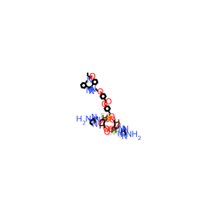 B[P@]1(=O)OC[C@H]2O[C@@H](n3cnc4c(N)ccnc43)[C@H](F)[C@@H]2O[P@](=O)(SCc2ccc(OC(=O)c3ccc(OCCn4nnc5c4-c4ccccc4N(C(=O)CC)Cc4ccccc4-5)cc3)cc2)OC[C@H]2O[C@@H](n3cnc4c(N)ncnc43)[C@H](F)[C@@H]2O1